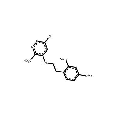 COc1ccc(CCNc2cc(Cl)nnc2C(=O)O)c(OC)c1